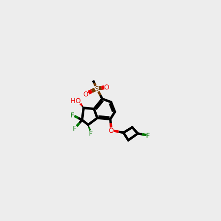 CS(=O)(=O)c1ccc(OC2CC(F)C2)c2c1[C@H](O)C(F)(F)[C@@H]2F